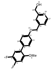 COc1cc(F)c(F)cc1-c1ccc(OCc2ccnc(CO)c2)cc1